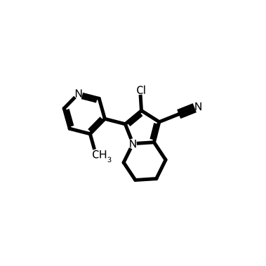 Cc1ccncc1-c1c(Cl)c(C#N)c2n1CCCC2